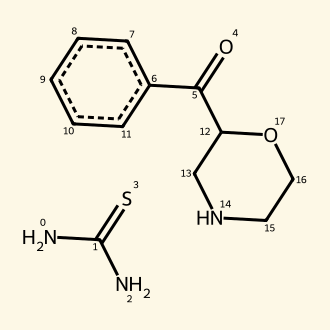 NC(N)=S.O=C(c1ccccc1)C1CNCCO1